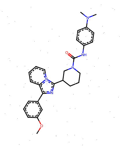 COc1cccc(-c2nc(C3CCCN(C(=O)Nc4ccc(N(C)C)cc4)C3)n3ccccc23)c1